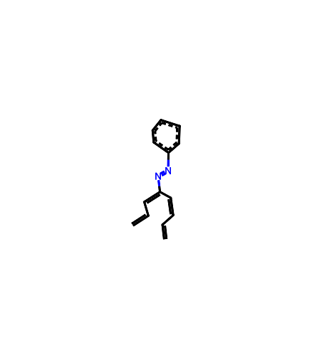 C=C/C=C\C(=C/C=C)N=Nc1ccccc1